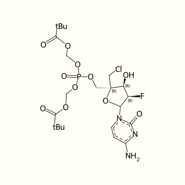 CC(C)(C)C(=O)OCOP(=O)(OCOC(=O)C(C)(C)C)OC[C@@]1(CCl)OC(n2ccc(N)nc2=O)[C@H](F)[C@@H]1O